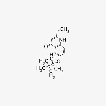 CCc1cc(=O)c2cc(O[Si](C)(C)C(C)(C)C)ccc2[nH]1